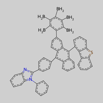 Bc1c(B)c(B)c(-c2ccc3c(-c4ccc(-c5nc6ccccc6n5-c5ccccc5)cc4)c4ccccc4c(-c4cccc5sc6ccccc6c45)c3c2)c(B)c1B